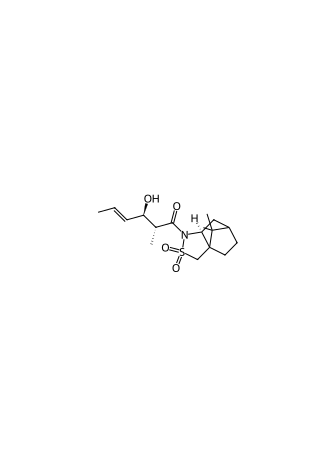 C/C=C/[C@@H](O)[C@@H](C)C(=O)N1[C@H]2CC3CCC2(CS1(=O)=O)C3(C)C